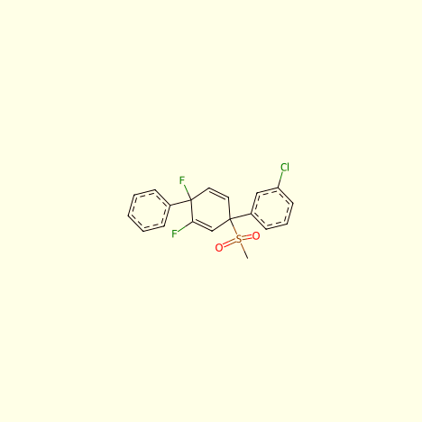 CS(=O)(=O)C1(c2cccc(Cl)c2)C=CC(F)(c2ccccc2)C(F)=C1